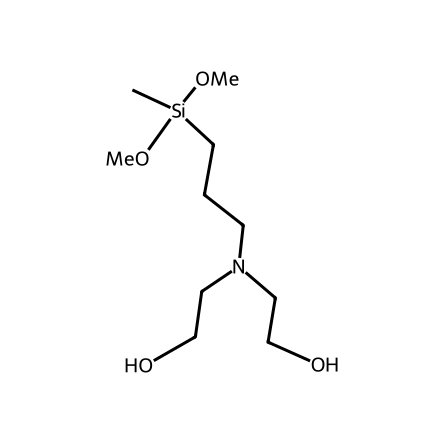 CO[Si](C)(CCCN(CCO)CCO)OC